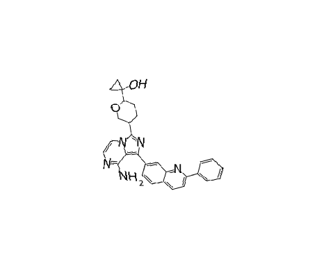 Nc1nccn2c(C3CCC(C4(O)CC4)OC3)nc(-c3ccc4ccc(-c5ccccc5)nc4c3)c12